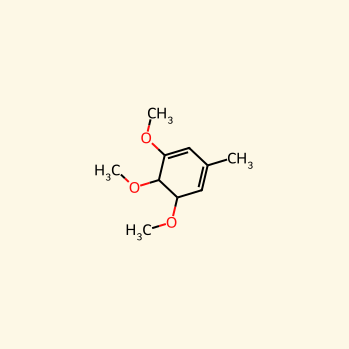 COC1=CC(C)=CC(OC)C1OC